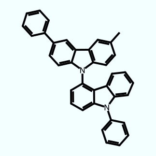 Cc1ccc2c(c1)c1cc(-c3ccccc3)ccc1n2-c1cccc2c1c1ccccc1n2-c1ccccc1